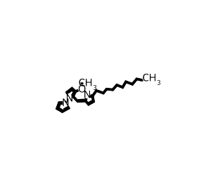 CCCCCCCCCCCC1=NC(=Cc2c(OC)ccn2-n2cccc2)C=C1